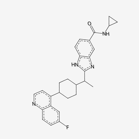 CC(c1nc2cc(C(=O)NC3CC3)ccc2[nH]1)C1CCC(c2ccnc3ccc(F)cc23)CC1